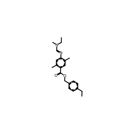 CCc1ccc(COC(=O)c2cc(C)c(/N=C/N(C)CC)cc2C)cc1